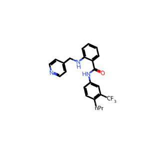 CCCc1ccc(NC(=O)c2ccccc2NCc2ccncc2)cc1C(F)(F)F